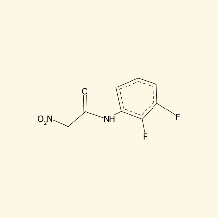 O=C(C[N+](=O)[O-])Nc1cccc(F)c1F